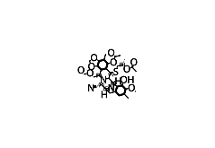 COc1c(C)cc2c(c1O)[C@H]1C3[C@H](SC[C@H](C)OC(C)=O)c4c(OC(C)=O)c(C)c5c(c4[C@H](COC=O)N3[C@@H](C#N)[C@H](C2)N1C)OCO5